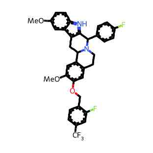 COc1ccc2[nH]c3c(c2c1)CC1c2cc(OC)c(OCc4ccc(C(F)(F)F)cc4F)cc2CCN1C3c1ccc(F)cc1